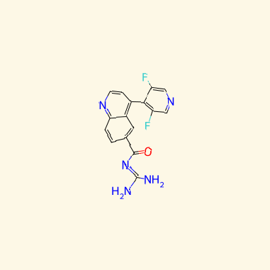 NC(N)=NC(=O)c1ccc2nccc(-c3c(F)cncc3F)c2c1